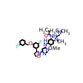 C=CC(=O)Nc1cc(Nc2cc(N3OCCC3c3cc(F)cc(OCc4cccc(F)c4)c3)ncn2)c(OC)cc1N(C)CCN(C)C